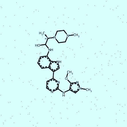 COc1nn(C)cc1Nc1nccc(-c2c[nH]c3c(NC(O)[C@@H](C)N4CCN(C)CC4)cccc23)n1